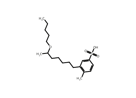 CCCCCOC(C)CCCCCc1cc(S(=O)(=O)O)ccc1C